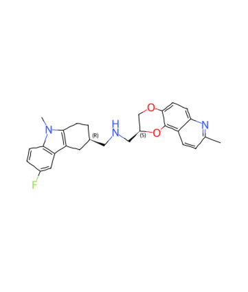 Cc1ccc2c3c(ccc2n1)OC[C@H](CNC[C@@H]1CCc2c(c4cc(F)ccc4n2C)C1)O3